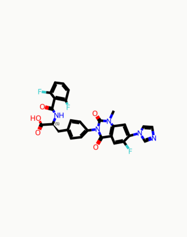 Cn1c(=O)n(-c2ccc(C[C@H](NC(=O)c3c(F)cccc3F)C(=O)O)cc2)c(=O)c2cc(F)c(-n3ccnc3)cc21